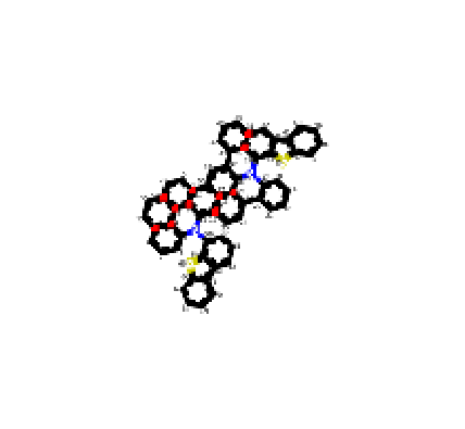 c1ccc(-c2ccccc2N(c2cc3cc(N(c4ccccc4-c4ccccc4)c4cccc5c4sc4ccccc45)c(-c4ccccc4)cc3cc2-c2ccccc2)c2cccc3c2sc2ccccc23)cc1